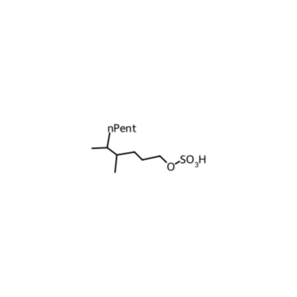 CCCCCC(C)C(C)CCCOS(=O)(=O)O